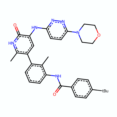 Cc1[nH]c(=O)c(Nc2ccc(N3CCOCC3)nn2)cc1-c1cccc(NC(=O)c2ccc(C(C)(C)C)cc2)c1C